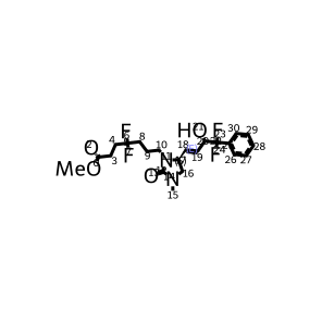 COC(=O)CCC(F)(F)CCCN1C(=O)N(C)C[C@@H]1/C=C/C(O)C(F)(F)c1ccccc1